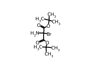 CC(C)(C)OC(=O)C(N)(Br)C(=O)OC(C)(C)C